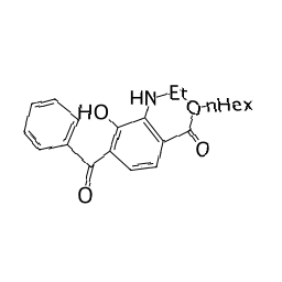 CCCCCCOC(=O)c1ccc(C(=O)c2ccccc2)c(O)c1NCC